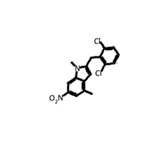 Cc1cc([N+](=O)[O-])cc2c1cc(Cc1c(Cl)[c]ccc1Cl)n2C